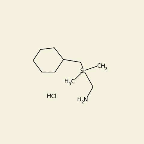 C[Si](C)(CN)CC1CCCCC1.Cl